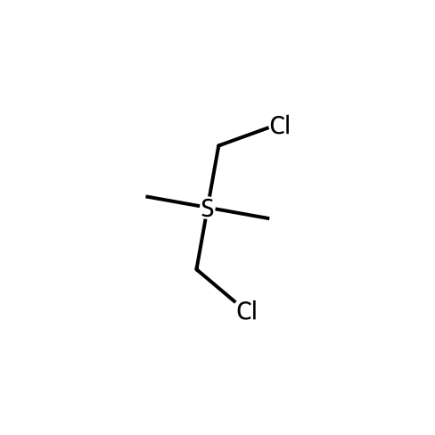 CS(C)(CCl)CCl